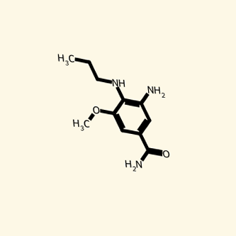 CCCNc1c(N)cc(C(N)=O)cc1OC